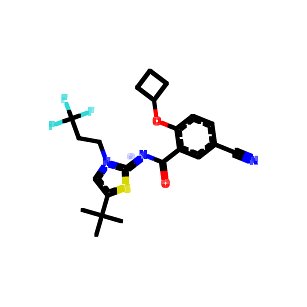 CC(C)(C)c1cn(CCC(F)(F)F)/c(=N/C(=O)c2cc(C#N)ccc2OC2CCC2)s1